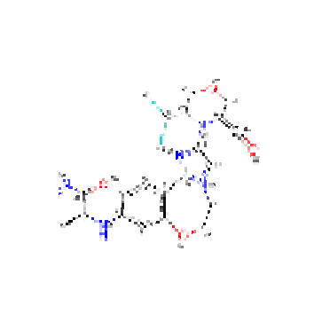 C[C@H](Nc1ccc2c(c1)OCCn1cc(N3C(=C=O)COC[C@H]3C(F)F)nc1-2)C(N)=O